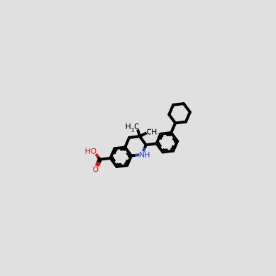 CC1(C)Cc2cc(C(=O)O)ccc2NC1c1cccc(C2CCCCC2)c1